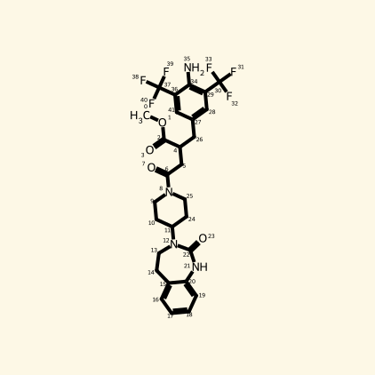 COC(=O)C(CC(=O)N1CCC(N2CCc3ccccc3NC2=O)CC1)Cc1cc(C(F)(F)F)c(N)c(C(F)(F)F)c1